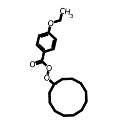 CCOc1ccc(C(=O)OO[C]2CCCCCCCCCCC2)cc1